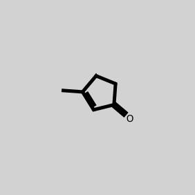 CC1=CC(=O)C[CH]1